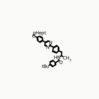 CCCCCCCOc1ccc(-c2cnc(-c3ccc(CC(C)NC(=O)c4ccc(C(C)(C)C)cc4)cc3)nc2)cc1